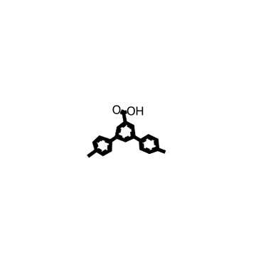 Cc1ccc(-c2cc(C(=O)O)cc(-c3ccc(C)cc3)c2)cc1